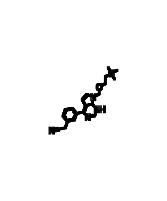 C[Si](C)(C)CCOCN1C=CC2=C(c3cccc(CC#N)c3)N=CNC21